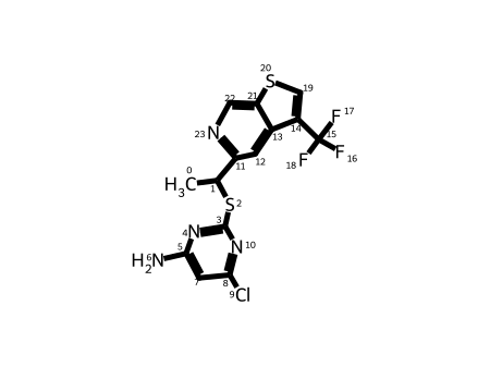 CC(Sc1nc(N)cc(Cl)n1)c1cc2c(C(F)(F)F)csc2cn1